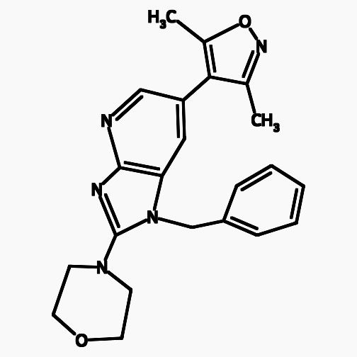 Cc1noc(C)c1-c1cnc2nc(N3CCOCC3)n(Cc3ccccc3)c2c1